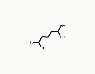 [CH2]CCC(O)CCCC(O)CC